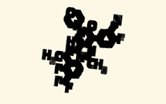 Cc1nc(N[C@H](C)c2cccc(C(F)F)c2F)c2cn(N3CCOCC3)c(=O)c(-c3ccc(F)c(C#N)c3)c2n1